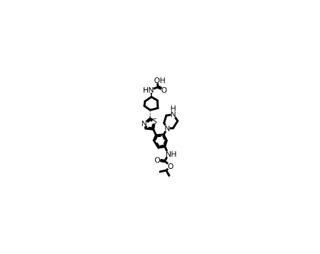 CC(C)OC(=O)Nc1ccc(-c2cnc([C@H]3CC[C@H](NC(=O)O)CC3)s2)c(N2CCNCC2)c1